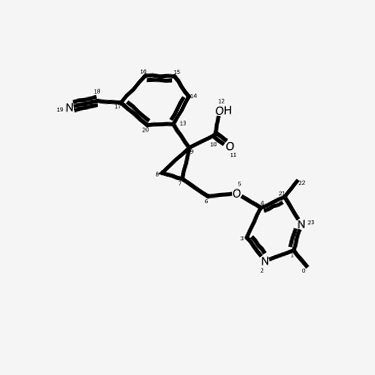 Cc1ncc(OCC2CC2(C(=O)O)c2cccc(C#N)c2)c(C)n1